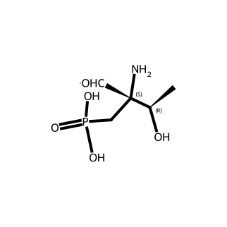 C[C@@H](O)[C@](N)([C]=O)CP(=O)(O)O